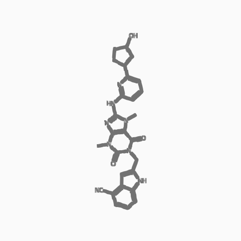 Cn1c(Nc2cccc(C3CCC(O)C3)n2)nc2c1c(=O)n(Cc1cc3c(C#N)cccc3[nH]1)c(=O)n2C